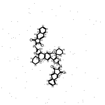 O=c1c(=Nc2nc3c(s2)-c2cc4c(cc2OC32CCCCC2)-c2sc(N=c3c(=O)c5cc6ccccc6cc5c3=O)nc2C2(CCCCC2)O4)c(=O)c2cc3ccccc3cc12